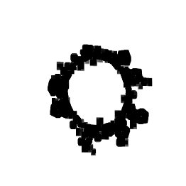 CCCC[C@H]1C(=O)N(C)CC(=O)N[C@@H](CC(=O)O)C(=O)N[C@@H](C(C)C)C(=O)N(C)[C@@H](Cc2ccccc2)C(=O)N[C@@H](Cc2ccc(O)cc2)C(=O)N(C)CC(=O)N[C@@H](Cc2c[nH]c3ccccc23)C(=O)N[C@@H](Cc2ccc(O)cc2)C(=O)N[C@@H](CC(C)C)C(=O)N[C@H](C(=O)NCC(N)=O)C(C)(C)SCC(=O)N[C@@H](Cc2ccccc2)C(=O)N(C)[C@@H](Cc2ccccc2)C(=O)N1C